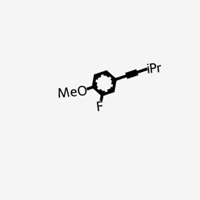 COc1ccc(C#CC(C)C)cc1F